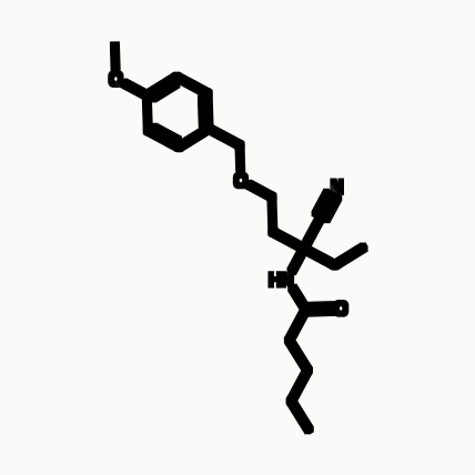 CCCCC(=O)NC(C#N)(CC)CCOCc1ccc(OC)cc1